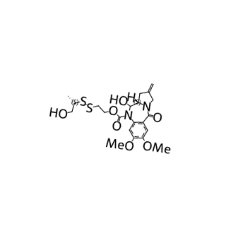 C=C1C[C@H]2C(O)N(C(=O)OCCSS[C@@H](C)CO)c3cc(OC)c(OC)cc3C(=O)N2C1